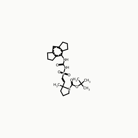 CC(C)(C)OC(=O)N1CCCC1(C)/C=C/S(=O)(=O)NC(=O)Nc1c2c(cc3c1CCC3)CCC2